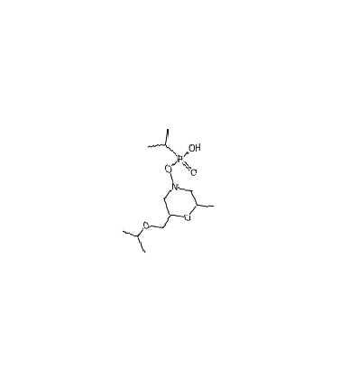 CC(C)OCC1CN(OP(=O)(O)C(C)C)CC(C)O1